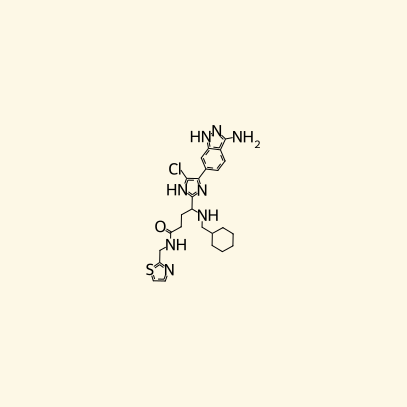 Nc1n[nH]c2cc(-c3nc(C(CCC(=O)NCc4nccs4)NCC4CCCCC4)[nH]c3Cl)ccc12